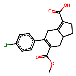 COC(=O)C1=C(c2ccc(Cl)cc2)CC2=C(C(=O)O)CCC2C1